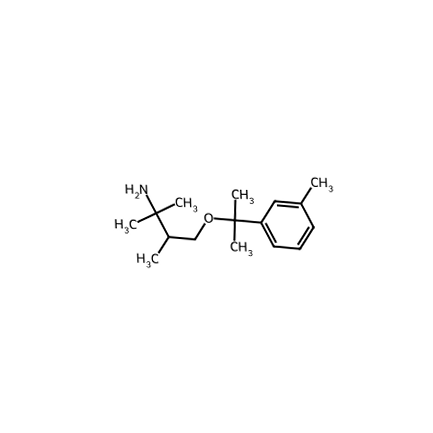 Cc1cccc(C(C)(C)OCC(C)C(C)(C)N)c1